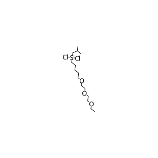 CCOCCOCCOCCCCC[Si](Cl)(Cl)CC(C)C